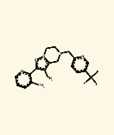 Cc1cccnc1-c1nn2c(c1C)CN(Cc1ccc(C(F)(F)F)cn1)CC2